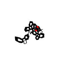 c1ccc(C2(c3ccc4c(c3)C(c3ccccc3)(c3ccccc3)c3ccccc3N4c3ccc4oc5ccccc5c4c3)c3ccccc3Sc3ccccc32)cc1